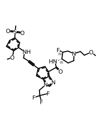 COCCN1CC[C@H](NC(=O)c2cc(C#CCNc3cc(S(C)(=O)=O)ccc3OC)cc3c2ncn3CC(F)(F)F)[C@@H](F)C1